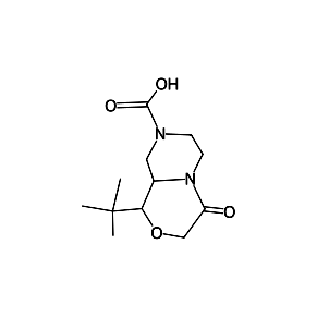 CC(C)(C)C1OCC(=O)N2CCN(C(=O)O)CC12